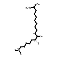 CCCCCCCCCCC(CCCCCCCCCC)CCCCCCCCC(=O)[C@H](CC)CCCCCN(C)C